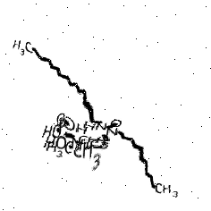 CCCCCCCCCCCCCCCCNC(=O)N(CCO)CCCCCCCCCCC.C[N+](C)(C)CC(O)P(=O)(O)O